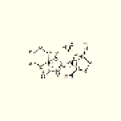 C[C@@H]1[C@@H]2CC[C@@H](C2)N1C1=NC(=O)C2(CCCCC2)S1